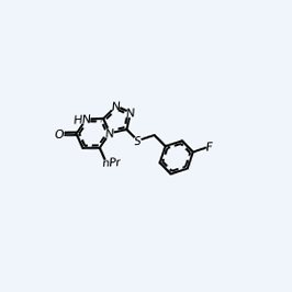 CCCc1cc(=O)[nH]c2nnc(SCc3cccc(F)c3)n12